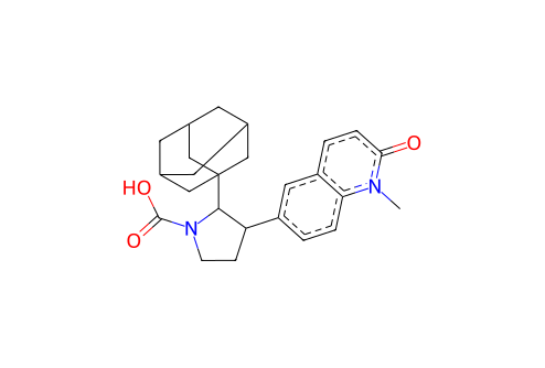 Cn1c(=O)ccc2cc(C3CCN(C(=O)O)C3C34CC5CC(CC(C5)C3)C4)ccc21